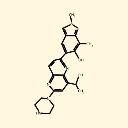 Cc1c(O)c(-c2ccc3nc(N4CCNCC4)cc(C(C)O)c3n2)cc2cn(C)nc12